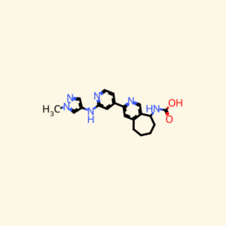 Cn1cc(Nc2cc(-c3cc4c(cn3)C(NC(=O)O)CCCC4)ccn2)cn1